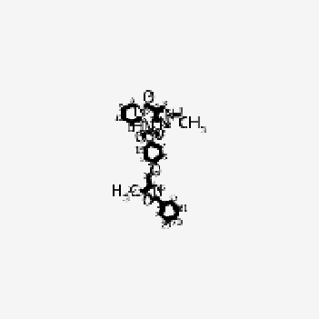 CCn1cc(C(=O)N2CCCCC2)c(NS(=O)(=O)c2ccc(OCc3nc(-c4ccccc4)oc3C)cc2)n1